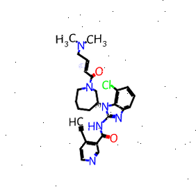 C#Cc1ccncc1C(=O)Nc1nc2cccc(Cl)c2n1[C@@H]1CCCCN(C(=O)/C=C/CN(C)C)C1